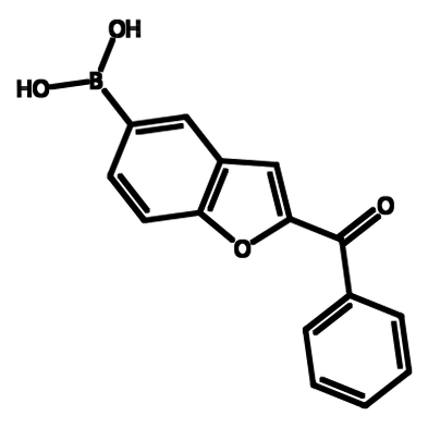 O=C(c1ccccc1)c1cc2cc(B(O)O)ccc2o1